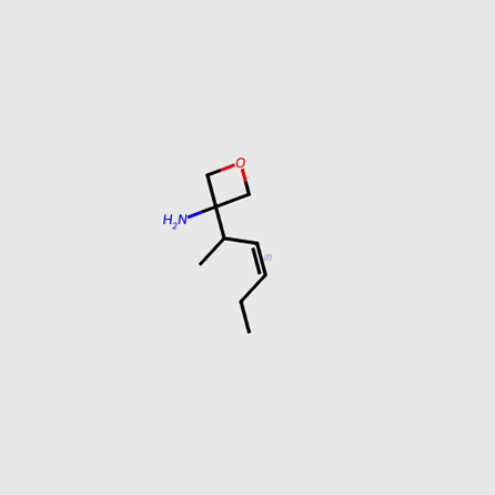 CC/C=C\C(C)C1(N)COC1